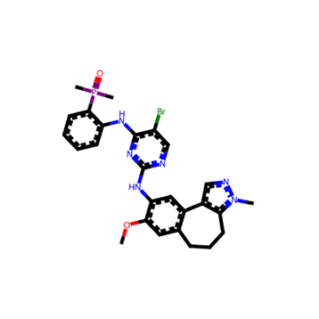 COc1cc2c(cc1Nc1ncc(Br)c(Nc3ccccc3P(C)(C)=O)n1)-c1cnn(C)c1CCC2